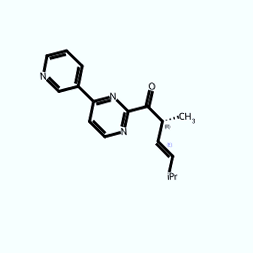 CC(C)/C=C/[C@@H](C)C(=O)c1nccc(-c2cccnc2)n1